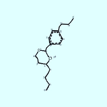 CCCCC1CCOC(c2ccc(CCC)cc2)O1